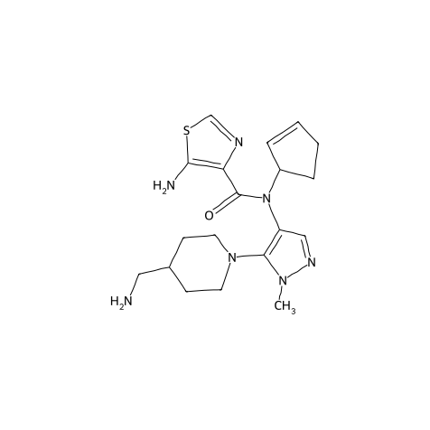 Cn1ncc(N(C(=O)c2ncsc2N)C2C=CCC2)c1N1CCC(CN)CC1